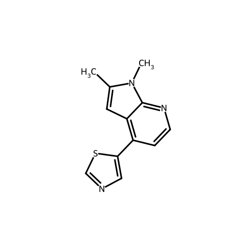 Cc1cc2c(-c3cncs3)ccnc2n1C